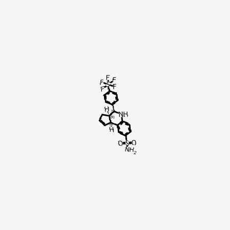 NS(=O)(=O)c1ccc2c(c1)[C@H]1C=CC[C@H]1[C@@H](c1ccc(S(F)(F)(F)(F)F)cc1)N2